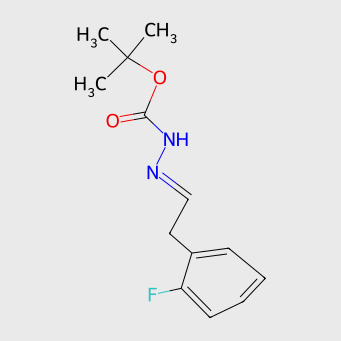 CC(C)(C)OC(=O)NN=CCc1ccccc1F